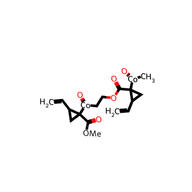 C=CC1C[C]1(C(=O)OC[CH2][Co](=[O])[C]1(C(=O)OC)CC1C=C)[Co]([CH3])=[O]